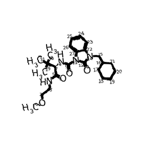 COCCNC(=O)[C@@H](NC(=O)n1c(=O)n(CC2CCCCC2)c2ccccc21)C(C)(C)C